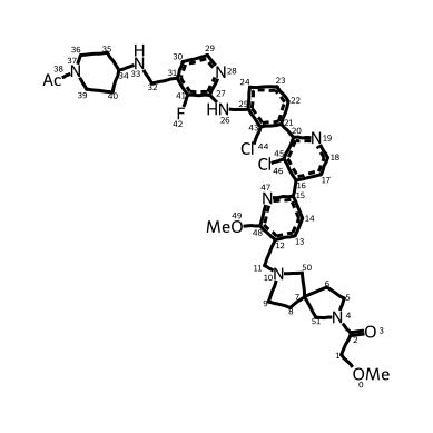 COCC(=O)N1CCC2(CCN(Cc3ccc(-c4ccnc(-c5cccc(Nc6nccc(CNC7CCN(C(C)=O)CC7)c6F)c5Cl)c4Cl)nc3OC)C2)C1